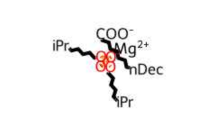 CC(C)CCCCCOP(=O)([O-])OCCCCCC(C)C.CCCCCCCCCCCCCCCCCC(=O)[O-].[Mg+2]